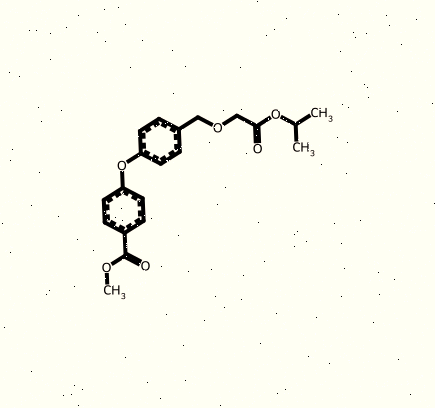 COC(=O)c1ccc(Oc2ccc(COCC(=O)OC(C)C)cc2)cc1